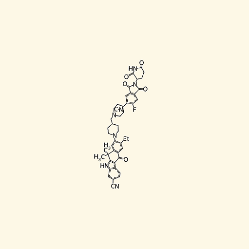 CCc1cc2c(cc1N1CCC(CN3CC4CCC3CN4c3cc4c(cc3F)C(=O)N(C3CCC(=O)NC3=O)C4=O)CC1)C(C)(C)c1[nH]c3cc(C#N)ccc3c1C2=O